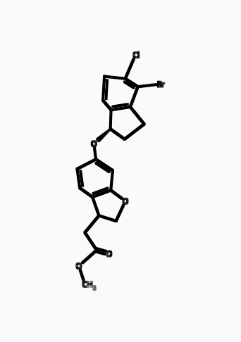 COC(=O)CC1COc2cc(O[C@@H]3CCc4c3ccc(Cl)c4Br)ccc21